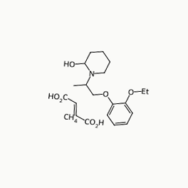 C.CCOc1ccccc1OCC(C)N1CCCCC1O.O=C(O)C=CC(=O)O